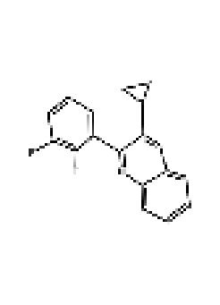 Fc1cccc(-c2nc3ccccc3cc2C2CC2)c1F